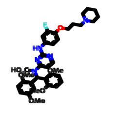 COc1ccc(OC)c(C(c2c(OC)cccc2OC)N(C(=O)O)c2ccnc(Nc3ccc(OCCCN4CCCCC4)c(F)c3)n2)c1